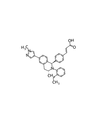 CCc1ccccc1N1[C@H](c2ccc(/C=C/C(=O)O)cc2)c2ccc(-c3cnn(C)c3)cc2C[C@H]1C